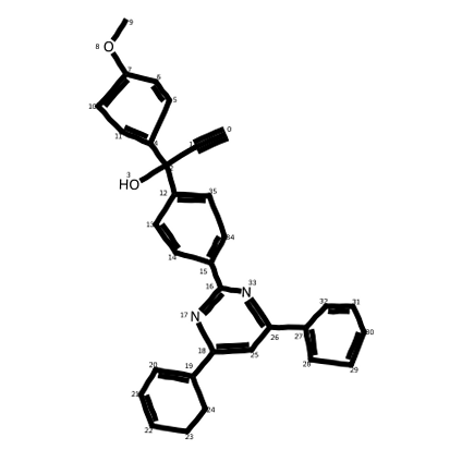 C#CC(O)(c1ccc(OC)cc1)c1ccc(-c2nc(C3=CC=CCC3)cc(-c3ccccc3)n2)cc1